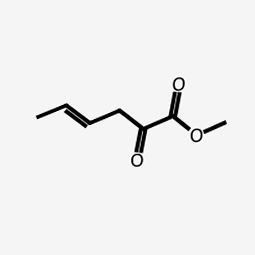 CC=CCC(=O)C(=O)OC